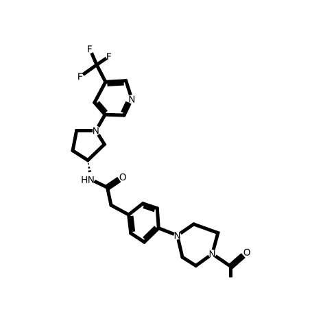 CC(=O)N1CCN(c2ccc(CC(=O)N[C@@H]3CCN(c4cncc(C(F)(F)F)c4)C3)cc2)CC1